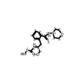 CC(C)(C)OC(=O)N[C@H](CO)Cc1ccccc1C(=S)NN1CCOCC1